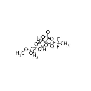 COC(=O)CC1(C)O[C@H]2O[C@H]3[C@H](OC(=O)[C@H]3OC(=O)C(C)(F)F)[C@H]2O1